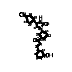 O=C(/C=C/c1cccc(O)c1)c1cccc(-n2cc(-c3ccc(Cl)cc3)[nH]c2=O)c1